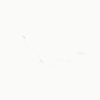 CN(C)CCN(C)CCOC=O